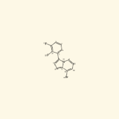 Fc1cccc(-c2cnc3c(Br)cccn23)c1F